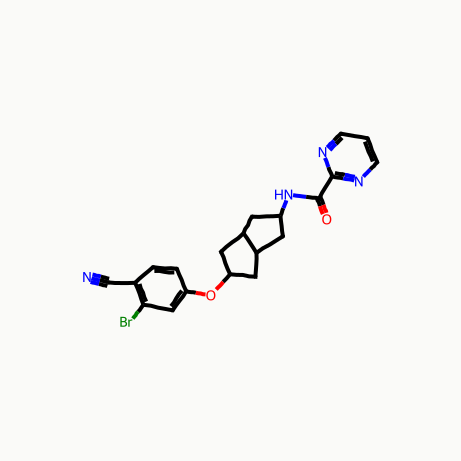 N#Cc1ccc(OC2CC3CC(NC(=O)c4ncccn4)CC3C2)cc1Br